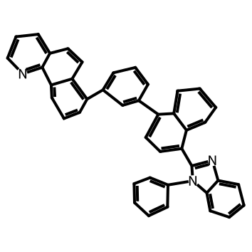 c1ccc(-n2c(-c3ccc(-c4cccc(-c5cccc6c5ccc5cccnc56)c4)c4ccccc34)nc3ccccc32)cc1